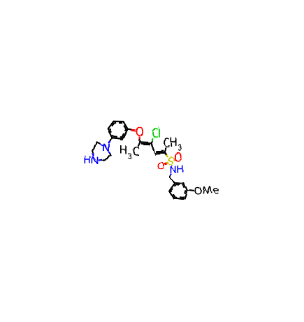 COc1cccc(CNS(=O)(=O)/C(C)=C/C(Cl)=C(\C)Oc2cccc(N3CCNCC3)c2)c1